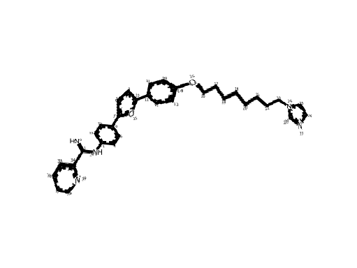 N=C(Nc1ccc(-c2ccc(-c3ccc(OCCCCCCCCn4ccnc4)cc3)o2)cc1)c1ccccn1